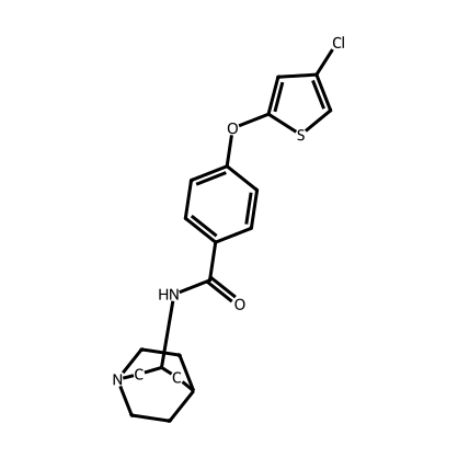 O=C(NC1CC2CCN(CC2)C1)c1ccc(Oc2cc(Cl)cs2)cc1